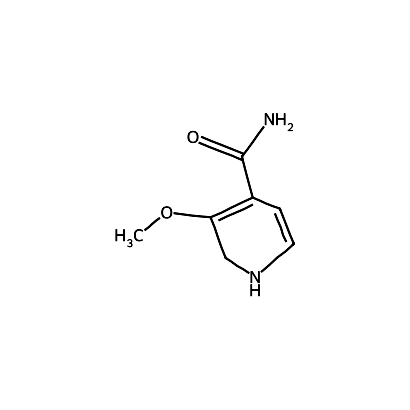 COC1=C(C(N)=O)C=CNC1